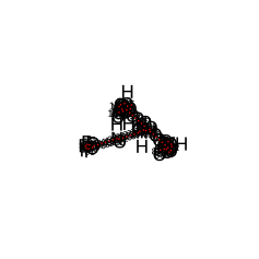 CC(=O)N[C@@H]1C(OCCOCCOCCNC(=O)c2cc(NC(=O)CCCCCCCCCCC(=O)NCCCCCCCCCCCC(=O)Oc3c(F)c(F)c(F)c(F)c3F)cc(C(=O)NCCOCCOCCOC3O[C@H](COC(C)=O)[C@H](OC(C)=O)[C@H](OC(C)=O)[C@H]3NC(C)=O)c2)O[C@@H](COC(C)=O)[C@@H](OC(C)=O)[C@H]1OC(C)=O